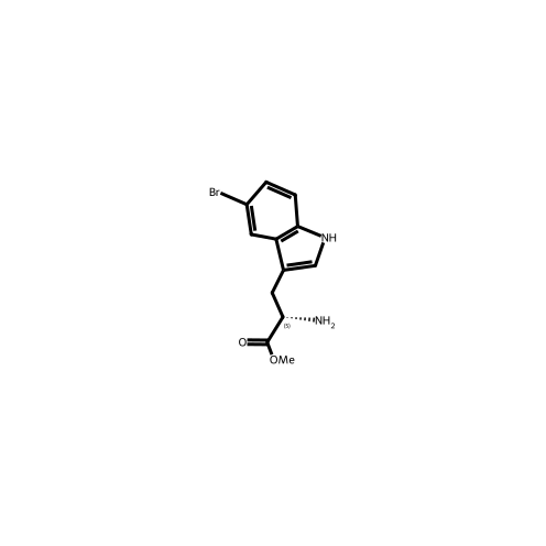 COC(=O)[C@@H](N)Cc1c[nH]c2ccc(Br)cc12